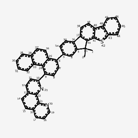 CC1(C)c2cc(-c3ccc(-c4ccc5ccc6cccnc6c5n4)c4c3ccc3ccccc34)ccc2-c2ccc3c(sc4ccccc43)c21